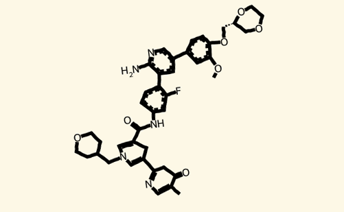 COc1cc(-c2cnc(N)c(-c3ccc(NC(=O)C4=CN(CC5CCOCC5)C=C(C5=NC=C(C)C(=O)C5)C4)cc3F)c2)ccc1OC[C@H]1COCCO1